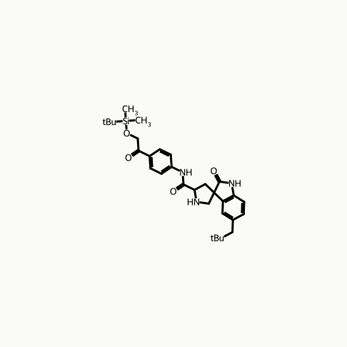 CC(C)(C)Cc1ccc2c(c1)C1(CNC(C(=O)Nc3ccc(C(=O)CO[Si](C)(C)C(C)(C)C)cc3)C1)C(=O)N2